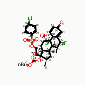 CCCCOC(=O)O[C@]1(C(=O)COS(=O)(=O)c2ccc(Cl)cc2)[C@H](C)C[C@H]2[C@@H]3C[C@H](F)C4=CC(=O)C=C[C@]4(C)[C@@]3(F)[C@@H](O)C[C@@]21C